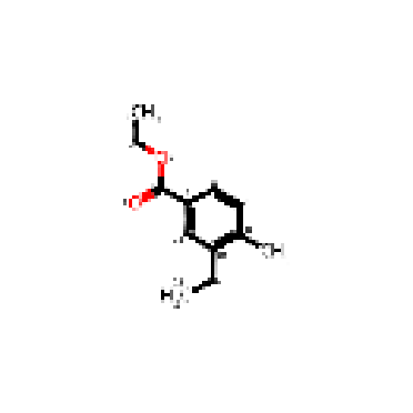 CCOC(=O)c1ccc(C)c(CC)c1